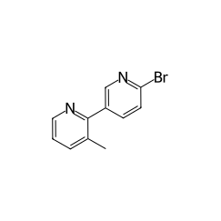 Cc1cccnc1-c1ccc(Br)nc1